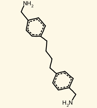 NCc1ccc(CCCCc2ccc(CN)cc2)cc1